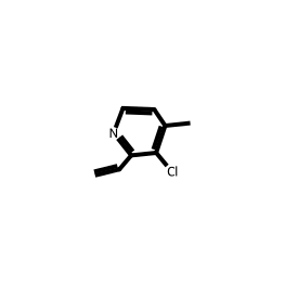 C=Cc1nccc(C)c1Cl